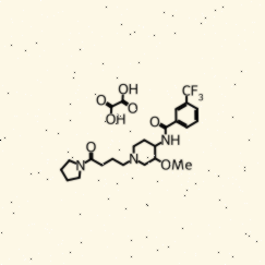 COC1CN(CCCC(=O)N2CCCC2)CCC1NC(=O)c1cccc(C(F)(F)F)c1.O=C(O)C(=O)O